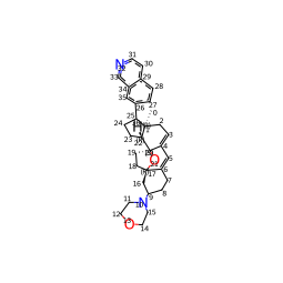 C[C@]12CC=C3C=C4CCC(N5CCOCC5)C[C@]45CC[C@]3(O5)[C@@H]1CCC2c1ccc2ccncc2c1